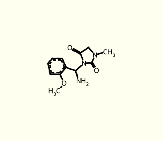 COc1ccccc1C(N)N1C(=O)CN(C)C1=O